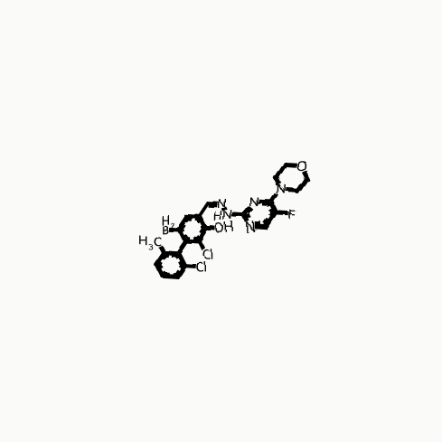 Bc1cc(/C=N\Nc2ncc(F)c(N3CCOCC3)n2)c(O)c(Cl)c1-c1c(C)cccc1Cl